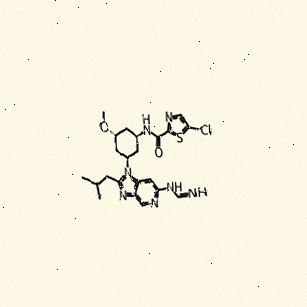 CO[C@@H]1C[C@@H](NC(=O)c2ncc(Cl)s2)C[C@@H](n2c(CC(C)C)nc3cnc(NC=N)cc32)C1